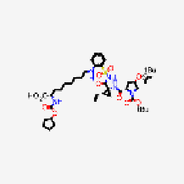 C=C[C@@H]1C[C@]1(NC(=O)[C@@H]1C[C@@H](O[Si](C)(C)C(C)(C)C)CN1C(=O)OC(C)(C)C)C(=O)NS(=O)(=O)c1ccccc1NCCCCCCC[C@H](NC(=O)OC1CCCC1)C(=O)O